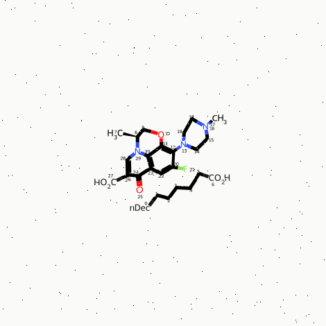 CCCCCCCCCCCCCCCC(=O)O.C[C@H]1COc2c(N3CCN(C)CC3)c(F)cc3c(=O)c(C(=O)O)cn1c23